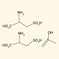 C=C(C)O.NC(CS(=O)(=O)O)C(=O)O.NC(CS(=O)(=O)O)C(=O)O